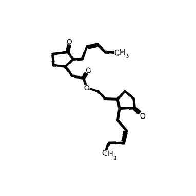 CC/C=C\CC1C(=O)CCC1CCOC(=O)CC1CCC(=O)C1C/C=C\CC